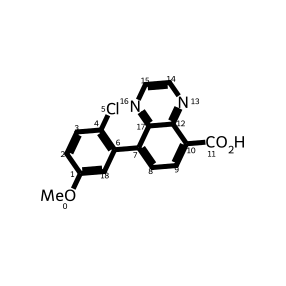 COc1ccc(Cl)c(-c2ccc(C(=O)O)c3nccnc23)c1